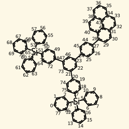 c1ccc([Si](c2ccccc2)(c2ccccc2)c2ccc(-c3cc(-c4ccc(-c5ccc6ccc7cccc8ccc5c6c78)cc4)cc(-c4ccc([Si](c5ccccc5)(c5ccccc5)c5ccccc5)cc4)c3)cc2)cc1